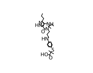 CCCc1n[nH]c2c1NC(C)(CC)N(CCCNc1ccc(SC(C)(C)C(=O)O)cc1)C2=O